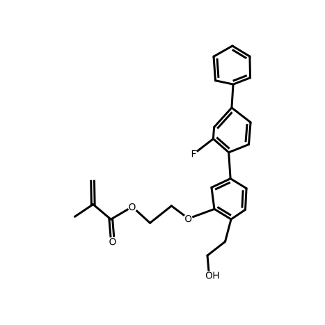 C=C(C)C(=O)OCCOc1cc(-c2ccc(-c3ccccc3)cc2F)ccc1CCO